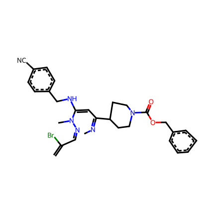 C=C(Br)/C=N\N(C)/C(=C\C(=N/C)C1CCN(C(=O)OCc2ccccc2)CC1)NCc1ccc(C#N)cc1